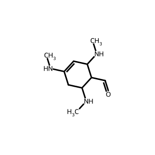 CNC1=CC(NC)C(C=O)C(NC)C1